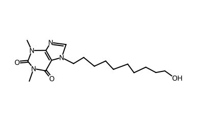 Cn1c(=O)c2c(ncn2CCCCCCCCCCO)n(C)c1=O